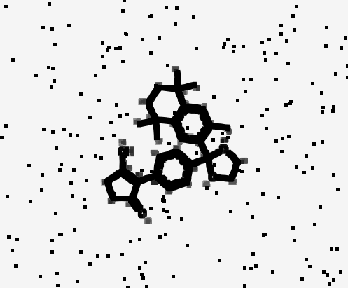 Cc1cc2c(cc1C1(c3ccc(C4=C(O)CCC4=O)cc3)OCCO1)C(C)(C)CCC2(C)C